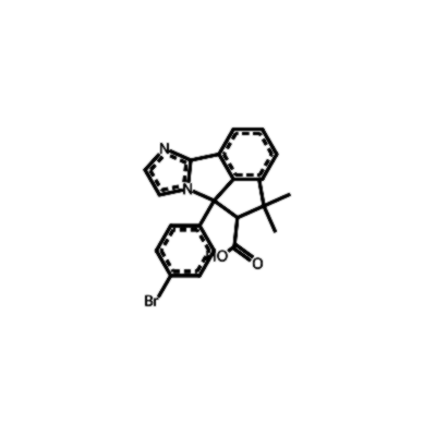 CC(C)(C)C(C(=O)O)C1(c2ccc(Br)cc2)c2ccccc2-c2nccn21